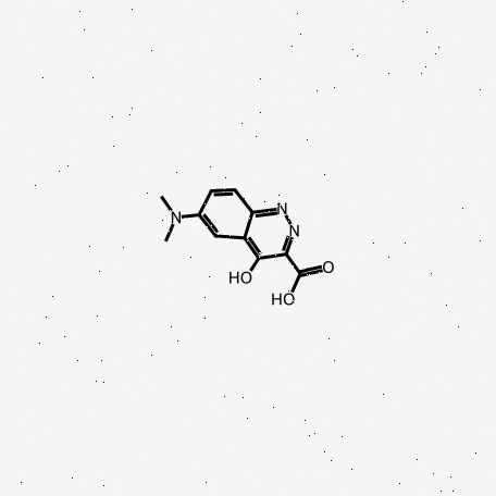 CN(C)c1ccc2nnc(C(=O)O)c(O)c2c1